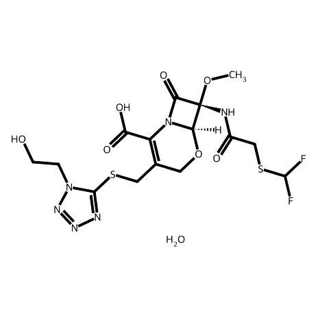 CO[C@@]1(NC(=O)CSC(F)F)C(=O)N2C(C(=O)O)=C(CSc3nnnn3CCO)CO[C@@H]21.O